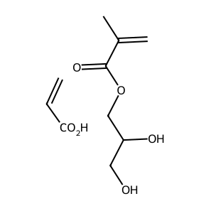 C=C(C)C(=O)OCC(O)CO.C=CC(=O)O